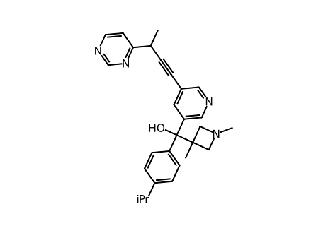 CC(C)c1ccc(C(O)(c2cncc(C#CC(C)c3ccncn3)c2)C2(C)CN(C)C2)cc1